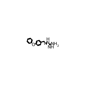 N=C(N)NN=Cc1ccc(Oc2ccccc2)cc1